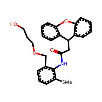 CSc1cccc(COCCCO)c1NC(=O)CC1c2ccccc2Oc2ccccc21